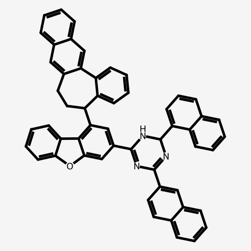 c1ccc2c(c1)-c1cc3ccccc3cc1CCC2c1cc(C2=NC(c3ccc4ccccc4c3)=NC(c3cccc4ccccc34)N2)cc2oc3ccccc3c12